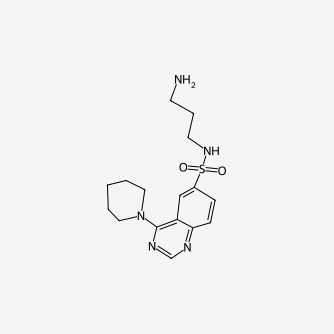 NCCCNS(=O)(=O)c1ccc2ncnc(N3CCCCC3)c2c1